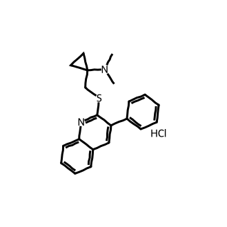 CN(C)C1(CSc2nc3ccccc3cc2-c2ccccc2)CC1.Cl